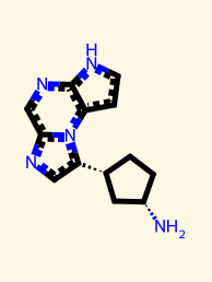 N[C@H]1CC[C@@H](c2cnc3cnc4[nH]ccc4n23)C1